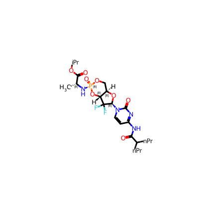 CCCC(CCC)C(=O)Nc1ccn([C@@H]2O[C@@H]3CO[P@](=O)(N[C@H](C)C(=O)OC(C)C)O[C@H]3C2(F)F)c(=O)n1